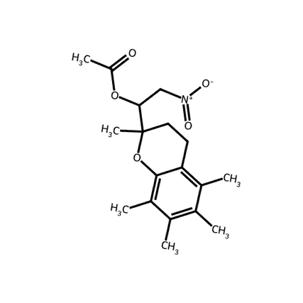 CC(=O)OC(C[N+](=O)[O-])C1(C)CCc2c(C)c(C)c(C)c(C)c2O1